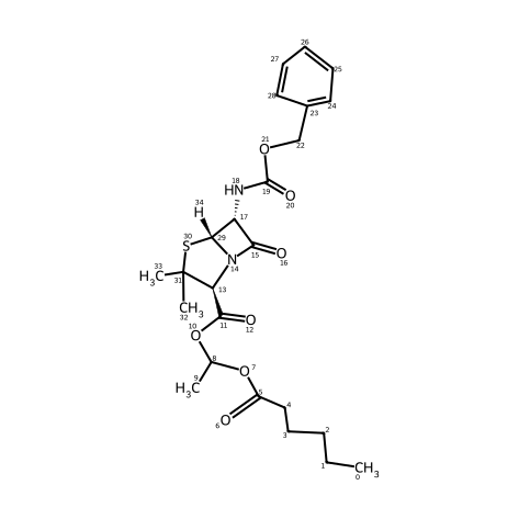 CCCCCC(=O)OC(C)OC(=O)[C@@H]1N2C(=O)[C@@H](NC(=O)OCc3ccccc3)[C@H]2SC1(C)C